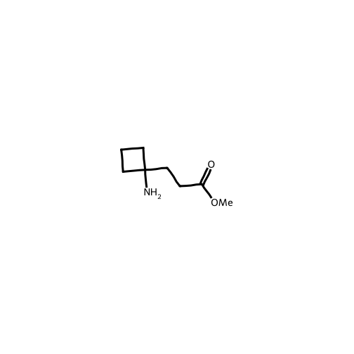 COC(=O)CCC1(N)CCC1